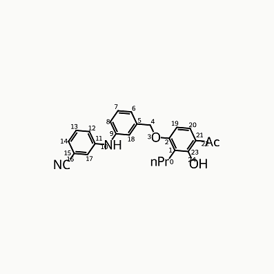 CCCc1c(OCc2cccc(Nc3cccc(C#N)c3)c2)ccc(C(C)=O)c1O